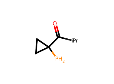 CC(C)C(=O)C1(P)CC1